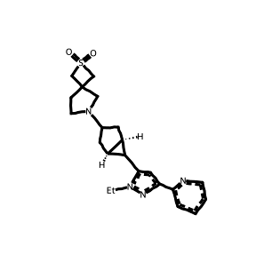 CCn1nc(-c2ccccn2)cc1C1[C@H]2CC(N3CCC4(C3)CS(=O)(=O)C4)C[C@@H]12